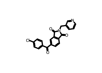 O=C(c1ccc(Cl)cc1)c1ccc2c(c1)C(=O)N(Cc1cccnc1)C2=O